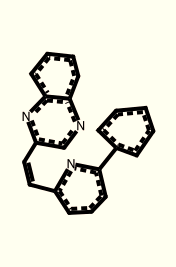 C(=C/c1cnc2ccccc2n1)/c1cccc(-c2ccccc2)n1